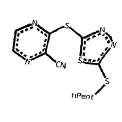 CCCCCSc1nnc(Sc2nccnc2C#N)s1